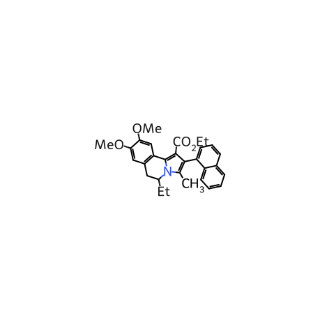 CCOC(=O)c1c(-c2cccc3ccccc23)c(C)n2c1-c1cc(OC)c(OC)cc1CC2CC